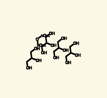 CCCCCCCCOCCCCCCCC.OCC(O)CO.OCC(O)CO.OCC(O)CO.OCC(O)CO